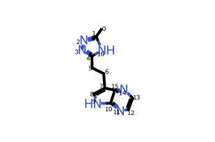 Cc1nnc(CCc2c[nH]c3nccnc23)[nH]1